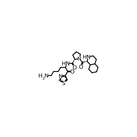 NCCCCC(NC(=O)[C@H]1CCCN1C(=O)[C@H]1NCCC2CCCCC21)C(=O)c1cs[c]n1